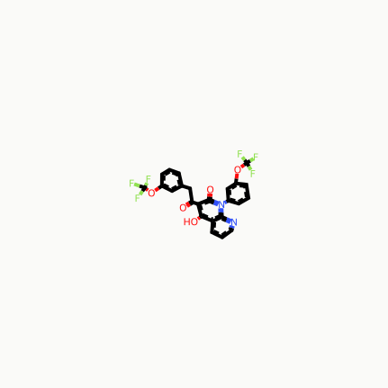 O=C(Cc1cccc(OC(F)(F)F)c1)c1c(O)c2cccnc2n(-c2cccc(OC(F)(F)F)c2)c1=O